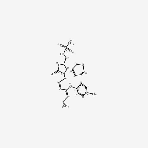 C=C/C=C(\C=C/CN1C(=O)O[C@@H](CNS(C)(=O)=O)[C@@H]1C1=CC=CCC1)Oc1ccc(Cl)cc1